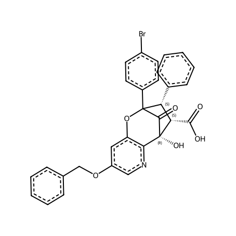 O=C(O)[C@H]1[C@@H](c2ccccc2)C2(c3ccc(Br)cc3)Oc3cc(OCc4ccccc4)cnc3[C@@]1(O)C2=O